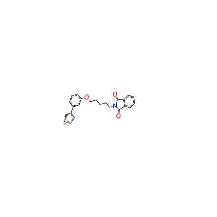 O=C1c2ccccc2C(=O)N1CCCCCOc1cccc(-c2ccsc2)c1